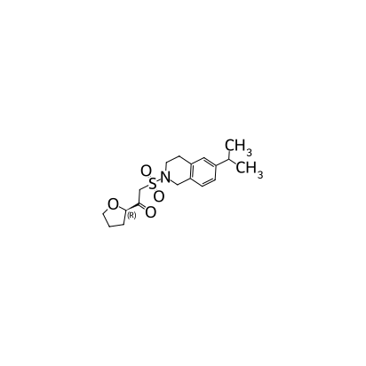 CC(C)c1ccc2c(c1)CCN(S(=O)(=O)CC(=O)[C@H]1CCCO1)C2